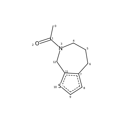 CC(=O)N1CCCc2ccsc2C1